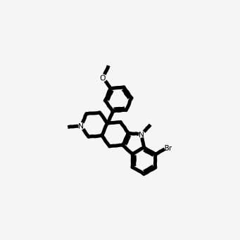 COc1cccc(C23CCN(C)CC2Cc2c(n(C)c4c(Br)cccc24)C3)c1